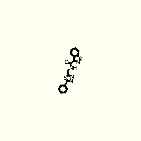 O=C(NCc1nnc(-c2ccccc2)s1)c1noc2ccccc12